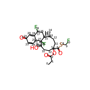 CCC(=O)O[C@]1(C(=O)SCF)CC[C@H](C)[C@@H]2C[C@H](F)C3=CC(=O)C=C[C@]3(C)[C@@]2(F)[C@@H](O)CC1